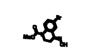 COC(=O)N1CCC(=NO)c2cc(Br)ccc21